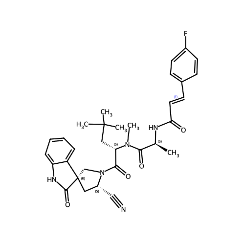 C[C@H](NC(=O)/C=C/c1ccc(F)cc1)C(=O)N(C)[C@@H](CC(C)(C)C)C(=O)N1C[C@]2(C[C@H]1C#N)C(=O)Nc1ccccc12